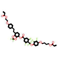 C=CC(=O)OCCCCOc1ccc(OC(F)(F)c2c(F)cc(C(=O)Oc3ccc(CCc4ccc(OCCOC(=O)C=C)cc4)c4c3OC(F)(F)O4)cc2F)c(F)c1F